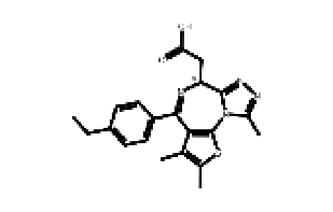 CCc1ccc(C2=N[C@@H](CC(=O)O)c3nnc(C)n3-c3sc(C)c(C)c32)cc1